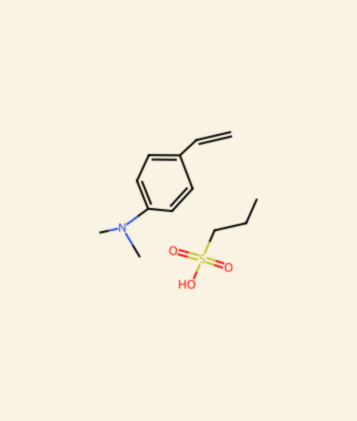 C=Cc1ccc(N(C)C)cc1.CCCS(=O)(=O)O